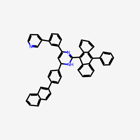 C1=C(c2cccc(-c3cccnc3)c2)N=C(c2c3ccccc3c(-c3ccccc3)c3ccccc23)NC1c1ccc(-c2ccc3ccccc3c2)cc1